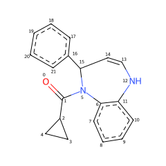 O=C(C1CC1)N1c2ccccc2NC=CC1c1ccccc1